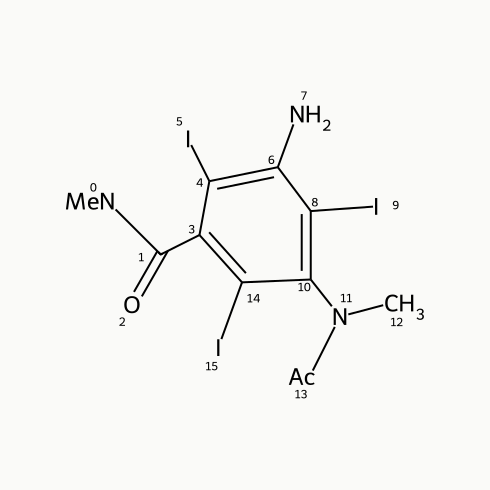 CNC(=O)c1c(I)c(N)c(I)c(N(C)C(C)=O)c1I